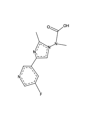 Cc1nc(-c2cncc(F)c2)cn1N(C)C(=O)O